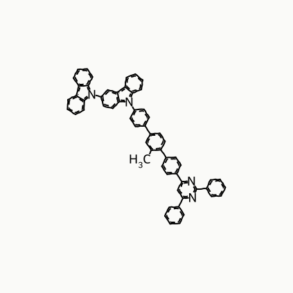 Cc1cc(-c2ccc(-n3c4ccccc4c4cc(-n5c6ccccc6c6ccccc65)ccc43)cc2)ccc1-c1ccc(-c2cc(-c3ccccc3)nc(-c3ccccc3)n2)cc1